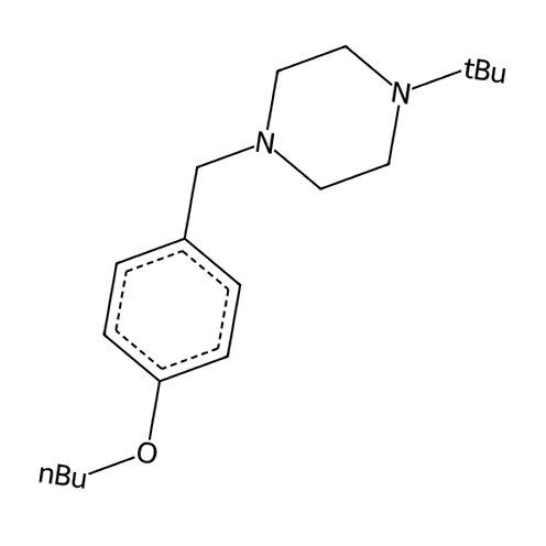 CCCCOc1ccc(CN2CCN(C(C)(C)C)CC2)cc1